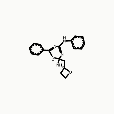 NC1(CC2CCO2)N=C(Nc2ccccc2)N=C(c2ccccc2)N1